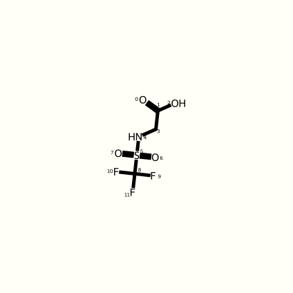 O=C(O)CNS(=O)(=O)C(F)(F)F